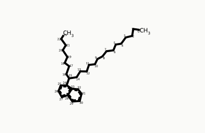 CCCCCCCCCCCCCCCC(CCCCCCCC)c1cccc2ccccc12